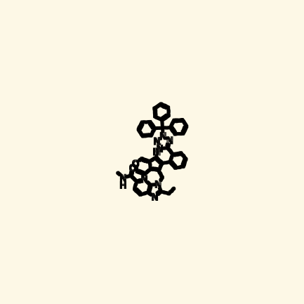 CCc1nc2ccc(C(=O)NC)nc2n1Cc1c2ccocc-2c(Br)c1-c1ccccc1-c1nnn(C(c2ccccc2)(c2ccccc2)c2ccccc2)n1